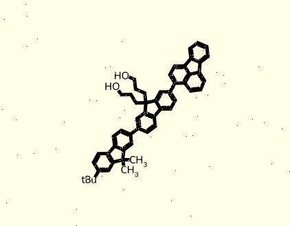 CC(C)(C)c1ccc2c(c1)C(C)(C)c1cc(-c3ccc4c(c3)C(CCCO)(CCCO)c3cc(-c5ccc6c7c(cccc57)-c5ccccc5-6)ccc3-4)ccc1-2